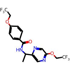 CC(NC(=O)c1ccc(OCC(F)(F)F)cc1)c1cnc(OCC(F)(F)F)cn1